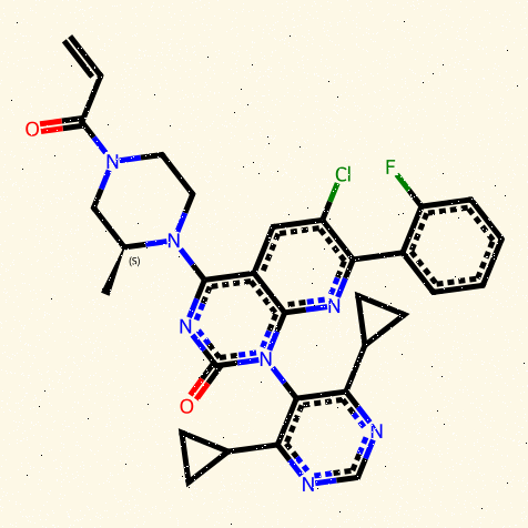 C=CC(=O)N1CCN(c2nc(=O)n(-c3c(C4CC4)ncnc3C3CC3)c3nc(-c4ccccc4F)c(Cl)cc23)[C@@H](C)C1